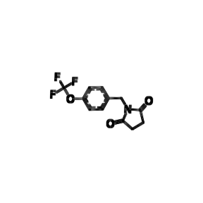 O=C1CCC(=O)N1Cc1ccc(OC(F)(F)F)cc1